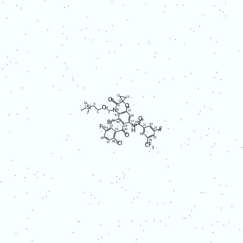 C[Si](C)(C)CCOCN1C(=O)C2(CC2)Oc2cc(NC(=O)c3cc(F)cc(C(F)(F)F)c3)c(C(=O)c3cc(F)ccc3Cl)c(Br)c21